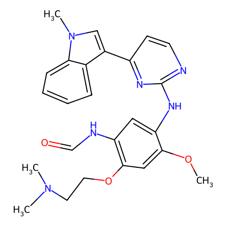 COc1cc(OCCN(C)C)c(NC=O)cc1Nc1nccc(-c2cn(C)c3ccccc23)n1